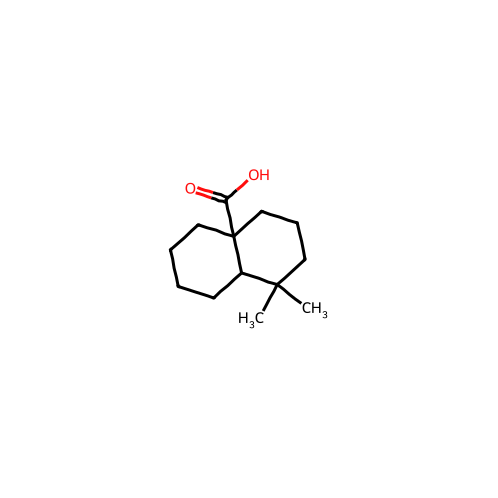 CC1(C)CCCC2(C(=O)O)CCCCC12